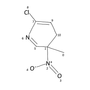 CC1([N+](=O)[O-])C=NC(Cl)=CC1